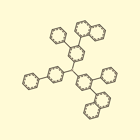 c1ccc(-c2ccc(N(c3ccc(-c4cccc5ccccc45)c(-c4ccccc4)c3)c3ccc(-c4cccc5ccccc45)c(-c4ccccc4)c3)cc2)cc1